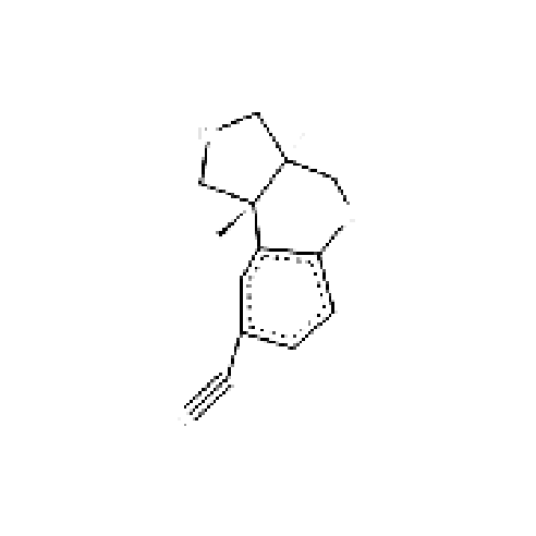 N#Cc1ccc2c(c1)[C@@H]1CNC[C@H]1CO2